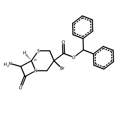 NC1C(=O)N2CC(Br)(C(=O)OC(c3ccccc3)c3ccccc3)CS[C@H]12